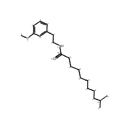 COc1cccc(CCNC(=O)CCCCCCCCC(C)C)c1